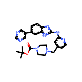 CC(C)(C)OC(=O)N1CCN(Cc2ccnc(Nc3nc4ccc(-c5cncnc5)cc4[nH]3)c2)CC1